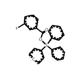 O=C(OS(c1ccccc1)(c1ccccc1)c1ccccc1)c1cccc(F)c1